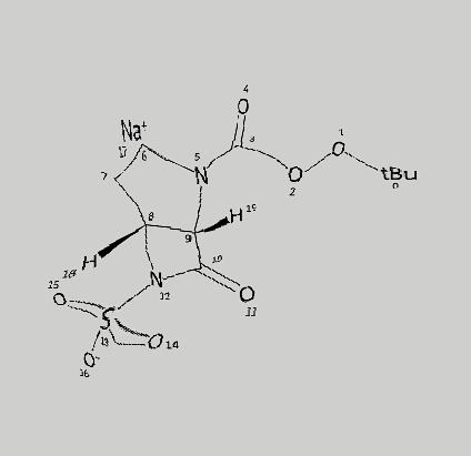 CC(C)(C)OOC(=O)N1CC[C@@H]2[C@H]1C(=O)N2S(=O)(=O)[O-].[Na+]